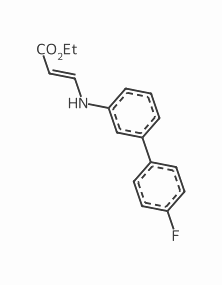 CCOC(=O)C=CNc1cccc(-c2ccc(F)cc2)c1